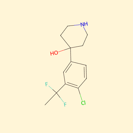 CC(F)(F)c1cc(C2(O)CCNCC2)ccc1Cl